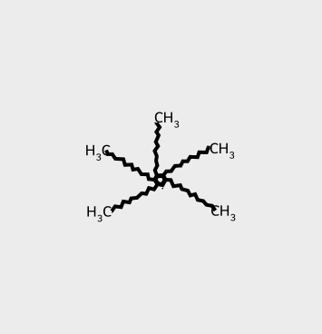 CCCCCCCCCCCCc1[c]c(CCCCCCCCCCCC)c(CCCCCCCCCCCC)c(CCCCCCCCCCCC)c1CCCCCCCCCCCC